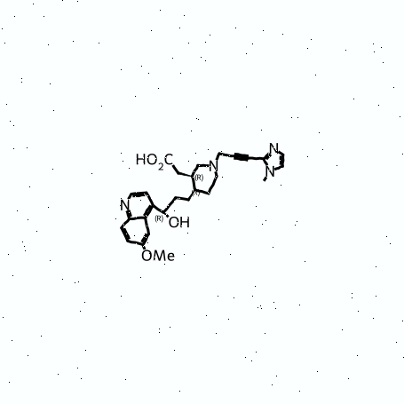 COc1ccc2nccc([C@H](O)CC[C@@H]3CCN(CC#Cc4nccn4C)C[C@@H]3CC(=O)O)c2c1